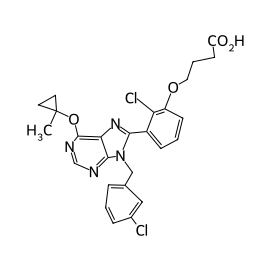 CC1(Oc2ncnc3c2nc(-c2cccc(OCCCC(=O)O)c2Cl)n3Cc2cccc(Cl)c2)CC1